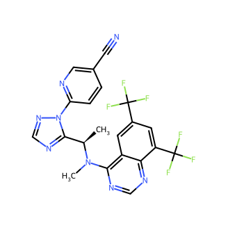 C[C@H](c1ncnn1-c1ccc(C#N)cn1)N(C)c1ncnc2c(C(F)(F)F)cc(C(F)(F)F)cc12